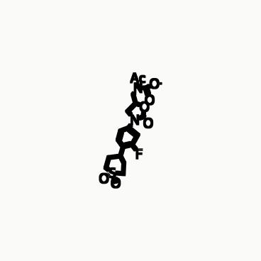 CC(=O)N(CC1CN(c2ccc(C3CCS(=O)(=O)CC3)c(F)c2)C(=O)O1)C([O])=O